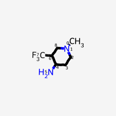 CN1CCC(N)C(C(F)(F)F)C1